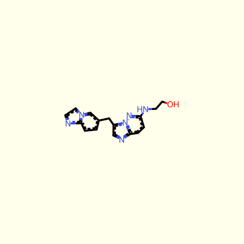 OCCNc1ccc2ncc(Cc3ccc4nccn4c3)n2n1